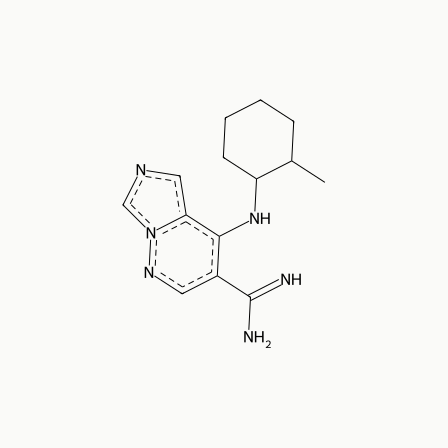 CC1CCCCC1Nc1c(C(=N)N)cnn2cncc12